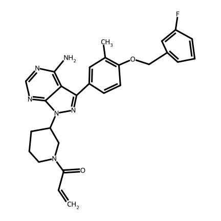 C=CC(=O)N1CCCC(n2nc(-c3ccc(OCc4cccc(F)c4)c(C)c3)c3c(N)ncnc32)C1